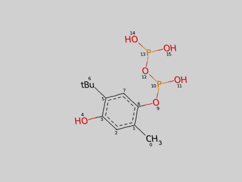 Cc1cc(O)c(C(C)(C)C)cc1OP(O)OP(O)O